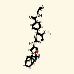 Cc1cnc(Nc2cnn(C3CC4CCC(C3)N4CC(F)(F)F)c2)nc1-c1ccc(C(=O)NCC#N)cc1